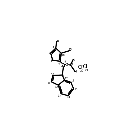 CC1=CC[C]([Zr+2](=[C](C)C)[CH]2C=Cc3ccccc32)=C1C.[Cl-].[Cl-]